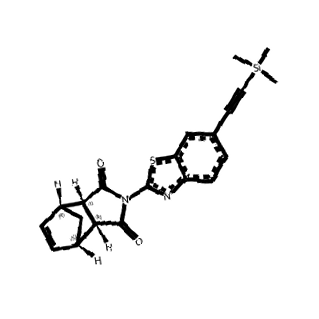 C[Si](C)(C)C#Cc1ccc2nc(N3C(=O)[C@@H]4[C@H](C3=O)[C@@H]3C=C[C@H]4C3)sc2c1